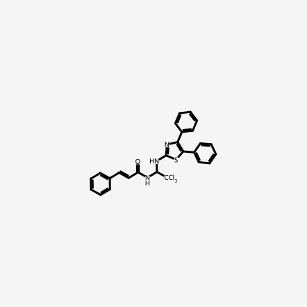 O=C(/C=C/c1ccccc1)NC(Nc1nc(-c2ccccc2)c(-c2ccccc2)s1)C(Cl)(Cl)Cl